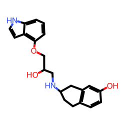 Oc1ccc2c(c1)CC(NCC(O)COc1cccc3[nH]ccc13)CC2